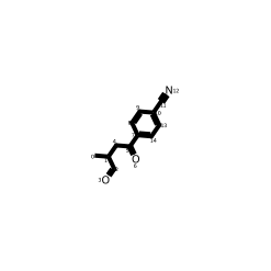 CC(C=O)CC(=O)c1ccc(C#N)cc1